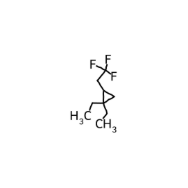 CCC1(CC)CC1CC(F)(F)F